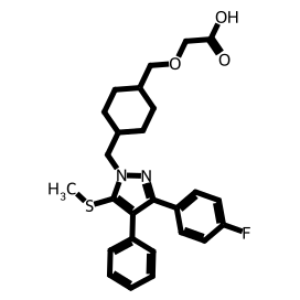 CSc1c(-c2ccccc2)c(-c2ccc(F)cc2)nn1CC1CCC(COCC(=O)O)CC1